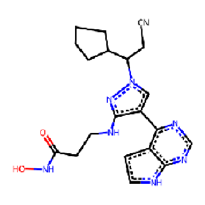 N#CCC(C1CCCC1)n1cc(-c2ncnc3[nH]ccc23)c(NCCC(=O)NO)n1